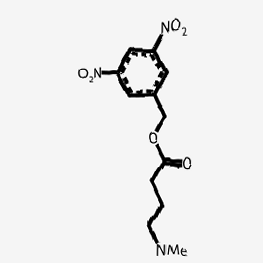 CNCCCC(=O)OCc1cc([N+](=O)[O-])cc([N+](=O)[O-])c1